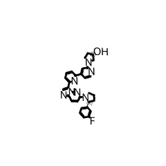 O[C@@H]1CCN(c2cc(-c3cccc(-c4cnc5ccc(N6CCC[C@@H]6c6cccc(F)c6)nn45)n3)ccn2)C1